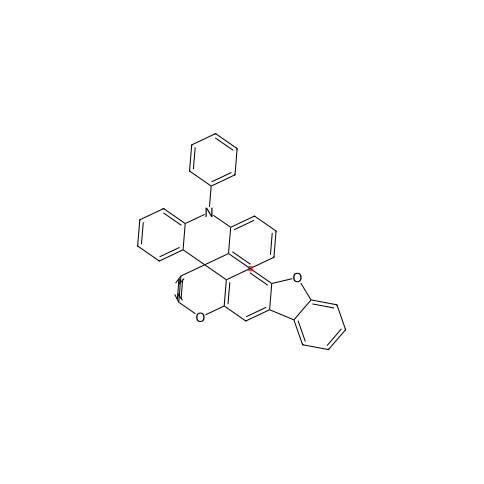 c1ccc(N2c3ccccc3C3(c4ccccc4Oc4cc5c(cc43)oc3ccccc35)c3ccccc32)cc1